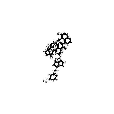 C#Cc1c(F)ccc2cccc(-c3nc4c5c(nc(OC[C@@]67CCCN6[C@H](CSc6cc(C(F)(F)F)ncn6)CC7)nc5c3F)N3C[C@H]5CC[C@H](N5)[C@H]3CCC4)c12